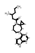 CCCC(C)CC(=O)N1CCCN(c2ncnc3[nH]ccc23)CC12CC2